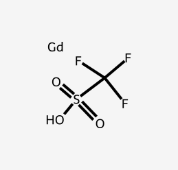 O=S(=O)(O)C(F)(F)F.[Gd]